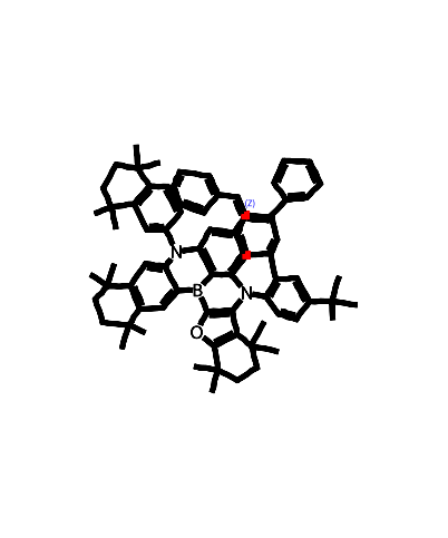 CC(C)(C)c1ccc(N2c3cc(/C(=C\c4ccccc4)Cc4ccccc4)cc4c3B(c3cc5c(cc3N4c3ccc4c(c3)C(C)(C)CCC4(C)C)C(C)(C)CCC5(C)C)c3oc4c(c32)C(C)(C)CCC4(C)C)c(-c2ccccc2)c1